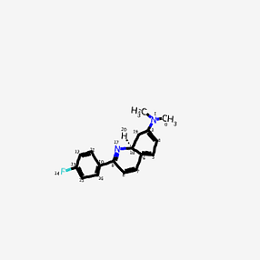 CN(C)C1=CC=C2C=CC(c3ccc(F)cc3)=N[C@H]2C1